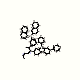 C=C(/C(=C\C=C/C)c1ccc2c3ccc(-c4ncncn4)cc3n(-c3ccccc3)c2c1)c1cccc(N(c2ccc3ccccc3c2)c2cccc3ccccc23)c1